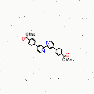 COC(=O)c1ccc(-c2ccnc(-c3cc(-c4ccc(C(=O)OC)cc4)ccn3)c2)cc1